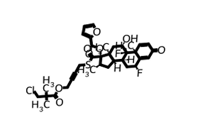 C[C@@H]1C[C@H]2[C@@H]3C[C@H](F)C4=CC(=O)C=C[C@]4(C)[C@@]3(F)[C@@H](O)C[C@]2(C)[C@@]1(OC(=O)c1ccco1)C(=O)SCC#CCOC(=O)C(C)(C)CCl